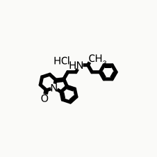 CC(Cc1ccccc1)NCCc1c2n(c3ccccc13)C(=O)CCC2.Cl